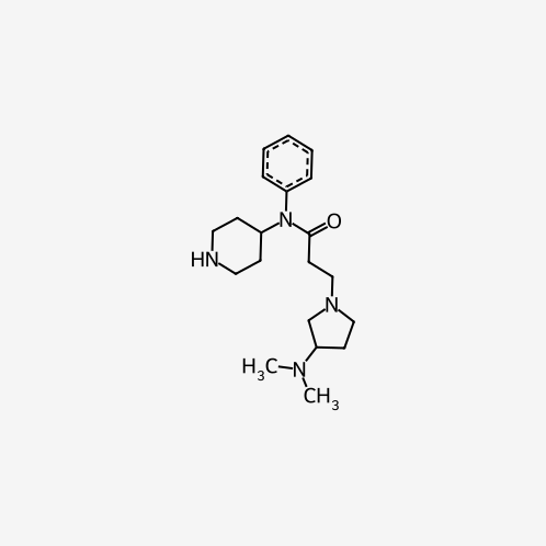 CN(C)C1CCN(CCC(=O)N(c2ccccc2)C2CCNCC2)C1